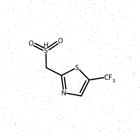 O=[SH](=O)Cc1ncc(C(F)(F)F)s1